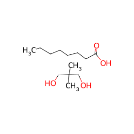 CC(C)(CO)CO.CCCCCCCC(=O)O